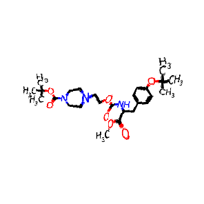 COC(=O)C(Cc1ccc(OC(C)(C)C)cc1)NC(=O)OCCN1CCN(C(=O)OC(C)(C)C)CC1